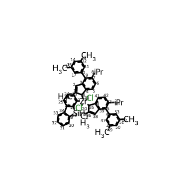 CC1=Cc2c(ccc(C(C)C)c2-c2cc(C)cc(C)c2)[CH]1[Zr]([Cl])([Cl])([c]1cccc2c1[SiH2]c1ccccc1-2)[CH]1C(C)=Cc2c1ccc(C(C)C)c2-c1cc(C)cc(C)c1